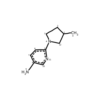 CC1CCN(c2ccc(N)cn2)C1